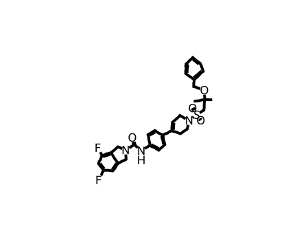 CC(C)(CS(=O)(=O)N1CC=C(c2ccc(NC(=O)N3Cc4cc(F)cc(F)c4C3)cc2)CC1)OCc1ccccc1